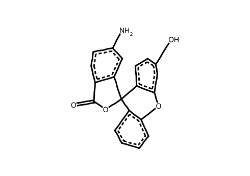 Nc1ccc2c(c1)C1(OC2=O)c2ccccc2Oc2cc(O)ccc21